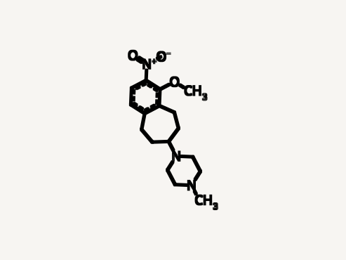 COc1c([N+](=O)[O-])ccc2c1CCC(N1CCN(C)CC1)CC2